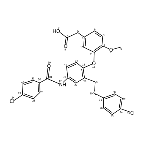 COc1ccc(CC(=O)O)cc1Oc1ccc(NC(=O)c2ccc(Cl)cc2)cc1CSc1ccc(Cl)cc1